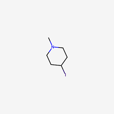 CN1CCC(I)CC1